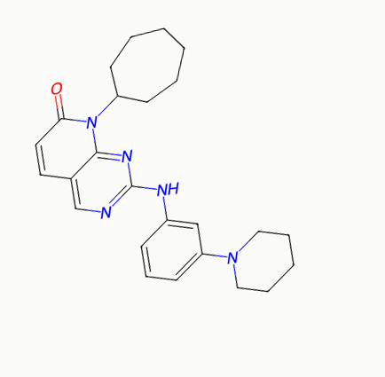 O=c1ccc2cnc(Nc3cccc(N4CCCCC4)c3)nc2n1C1CCCCCC1